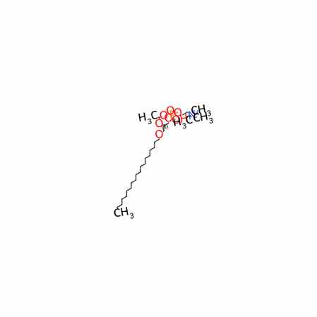 CCCCCCCCCCCCCCCCCCCOC[C@H](COP(=O)(O)OCC[N+](C)(C)C)OC(C)=O